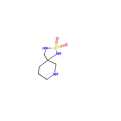 O=S1(=O)NCC2(CCCNC2)N1